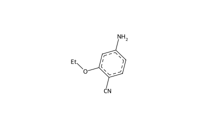 CCOc1cc(N)ccc1C#N